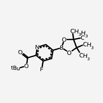 CC(C)(C)OC(=O)c1ncc(B2OC(C)(C)C(C)(C)O2)cc1F